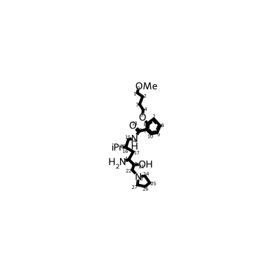 COCCCCOc1ccccc1C(=O)NCC(CC(N)C(O)CN1CCCC1)C(C)C